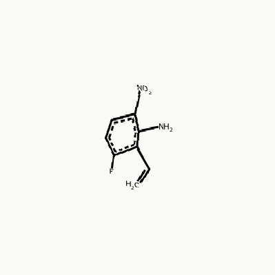 C=Cc1c(F)ccc([N+](=O)[O-])c1N